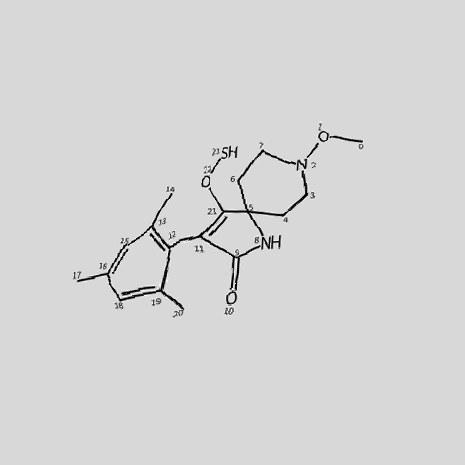 CON1CCC2(CC1)NC(=O)C(c1c(C)cc(C)cc1C)=C2OS